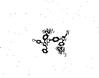 N#Cc1cn(-c2ccc(Cl)cc2)c(-c2ccc(S(N)(=O)=O)cc2)n1.NS(=O)(=O)c1ccc(-c2nc(Cc3ccccc3)cn2-c2ccc(Cl)cc2)cc1